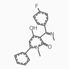 CN=C(c1ccc(F)cc1)c1c(O)cc(-c2ccccc2)n(C)c1=O